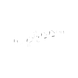 CC1=CCC(NC(=O)c2ccc(-c3ccc(O)cc3)cc2)C=C1Br